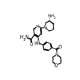 NC(=O)c1cnc(N2CCC[C@@H](N)C2)cc1Nc1ccc(C(=O)N2CCOCC2)cc1